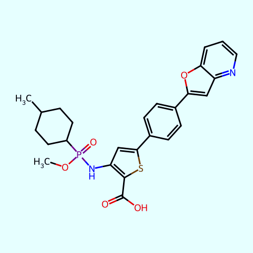 COP(=O)(Nc1cc(-c2ccc(-c3cc4ncccc4o3)cc2)sc1C(=O)O)C1CCC(C)CC1